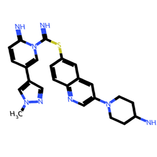 Cn1cc(-c2ccc(=N)n(C(=N)Sc3ccc4ncc(N5CCC(N)CC5)cc4c3)c2)cn1